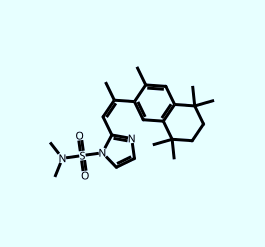 C/C(=C/c1nccn1S(=O)(=O)N(C)C)c1cc2c(cc1C)C(C)(C)CCC2(C)C